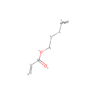 C=CC(=O)OCCCCCCCC